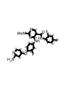 CNc1ncc(C(=O)Nc2ccc(F)cc2F)c(Nc2ccc(Oc3ccnc(N)c3)c(F)c2)n1